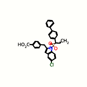 C=CC(c1ccc(-c2ccccc2)cc1)S(=O)(=O)n1c(Cc2ccc(C(=O)O)cc2)cc2cc(Cl)ccc21